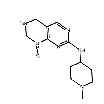 CN1CCC(Nc2ncc3c(n2)[NH+]([O-])CNC3)CC1